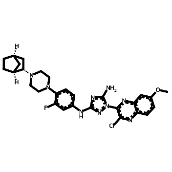 COc1ccc2nc(Cl)c(-n3nc(Nc4ccc(N5CCN([C@H]6C[C@@H]7CC[C@H]6C7)CC5)c(F)c4)nc3N)nc2c1